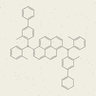 Cc1ccccc1N(c1ccc(C2=CC=CCC2)cc1C)c1ccc2ccc3c(N(c4ccccc4C)c4ccc(-c5ccccc5)cc4C)ccc4ccc1c2c43